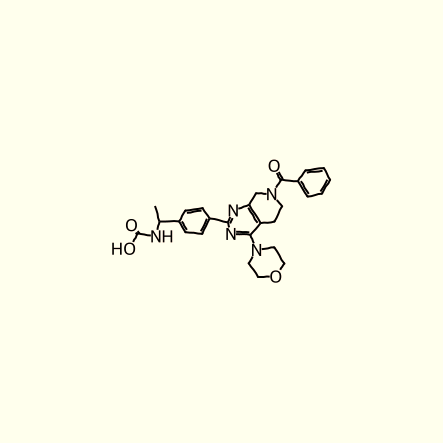 CC(NC(=O)O)c1ccc(-c2nc3c(c(N4CCOCC4)n2)CCN(C(=O)c2ccccc2)C3)cc1